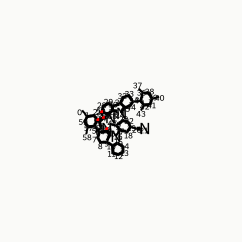 Cc1cc(C)c(-c2ccc3c4ccccc4n(-c4cc(C#N)cc(-n5c6ccccc6c6ccc(-c7c(C)cc(C)cc7C)cc65)c4-c4nc(C)cc(C)n4)c3c2)c(C)c1